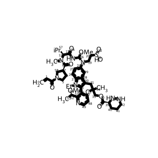 C=CC(=O)N1CC[C@H](C(=O)N(C)[C@H](C(=O)NC(OC)N(CC[SH](=O)=O)c2ccc3c(c2)c(CC(C)(C)COC(=O)[C@@H]2CCCNN2)c(-c2cccnc2[C@H](C)OC)n3CC)C(C)C)C1